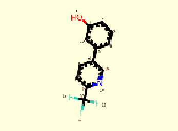 Oc1cccc(-c2ccc(C(F)(F)F)nc2)c1